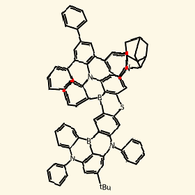 CC(C)(C)c1cc2c3c(c1)N(c1ccccc1)c1cc4c(cc1B3c1ccccc1N2c1ccccc1)B1c2ccccc2N(c2c(-c3ccccc3)cc(-c3ccccc3)cc2-c2ccccc2)c2cc(N3C5CC6CC(C5)C3C6)cc(c21)S4